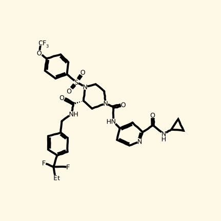 CCC(F)(F)c1ccc(CNC(=O)[C@H]2CN(C(=O)Nc3ccnc(C(=O)NC4CC4)c3)CCN2S(=O)(=O)c2ccc(OC(F)(F)F)cc2)cc1